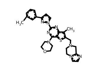 Cc1cccc(-c2ccn(-c3nc(N4CCOCC4)c4sc(CN5CCn6ccnc6C5)c(C)c4n3)n2)c1